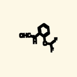 O=CNc1ccccc1OC(F)F